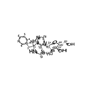 NC1(Cc2ccccc2)NC=Nc2c1ncn2[C@@H]1O[C@H](CO)[C@@H](O)[C@H]1O